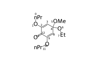 CCCOC1=CC(OC)(OCC)C=C(OCCC)C1=O